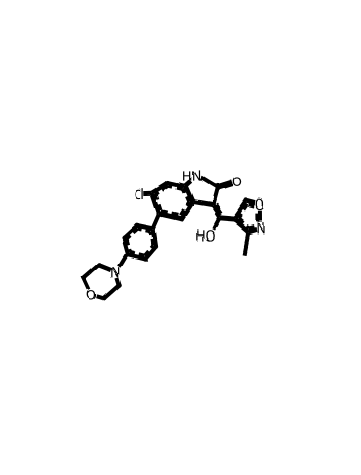 Cc1nocc1C(O)=C1C(=O)Nc2cc(Cl)c(-c3ccc(N4CCOCC4)cc3)cc21